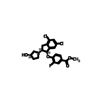 COC(=O)c1ccc(O[C@H]2c3cc(Cl)cc(Cl)c3C[C@@H]2N2CC[C@@H](O)C2)c(F)c1